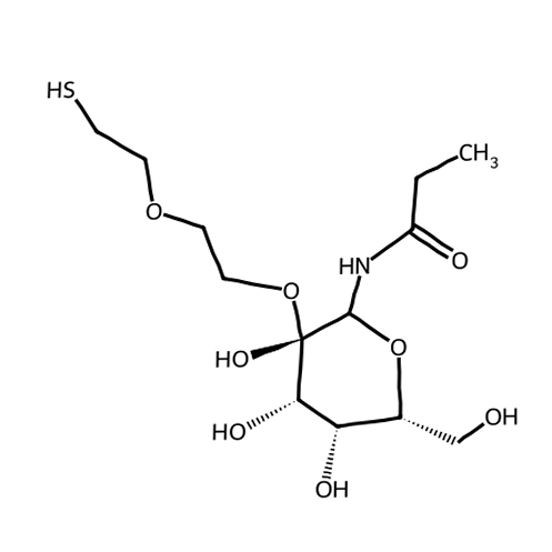 CCC(=O)NC1O[C@H](CO)[C@H](O)[C@H](O)[C@]1(O)OCCOCCS